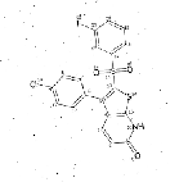 O=c1ccc2c(-c3ccc(Cl)cc3)c(S(=O)(=O)c3cccc(F)c3)sc2[nH]1